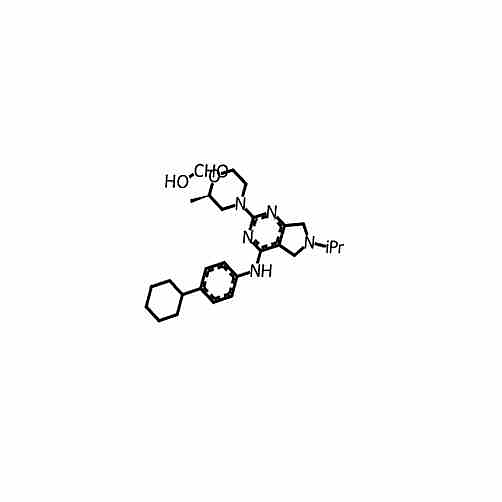 CC(C)N1Cc2nc(N3CCO[C@H](C)C3)nc(Nc3ccc(C4CCCCC4)cc3)c2C1.O=CO